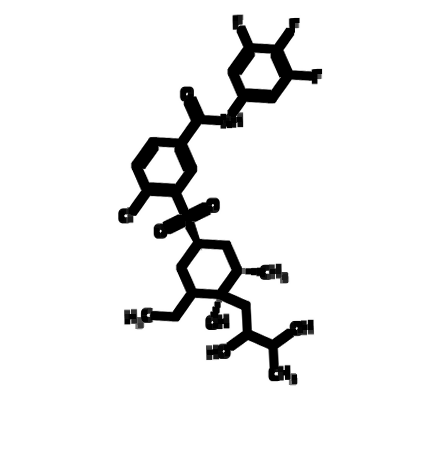 CCC1C[C@@H](S(=O)(=O)c2cc(C(=O)Nc3cc(F)c(F)c(F)c3)ccc2Cl)C[C@H](C)[C@@]1(O)CC(O)C(C)O